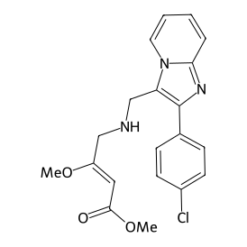 COC(=O)C=C(CNCc1c(-c2ccc(Cl)cc2)nc2ccccn12)OC